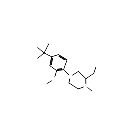 COc1cc(C(C)(C)C)ccc1N1CCN(C)C(CF)C1